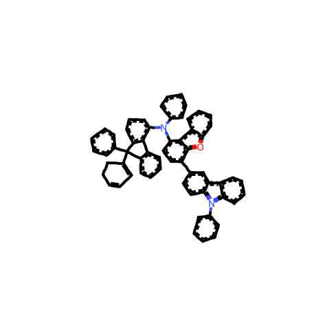 C1=CCCC(C2(c3ccccc3)c3ccccc3-c3c(N(c4ccccc4)c4ccc(-c5ccc6c(c5)c5ccccc5n6-c5ccccc5)c5oc6ccccc6c45)cccc32)=C1